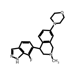 CN1Cc2cc(N3CCOCC3)ccc2C(c2ccc3cn[nH]c3c2F)C1